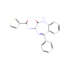 O=C(NC1N=C(c2ccccc2)c2ccccc2NC1=O)c1ccsc1